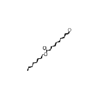 CCCCCCCCOC(=O)CCCCCCCCC=O